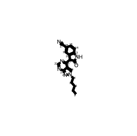 CCCCCn1cc2c(C3C(=O)Nc4ccc(C#N)cc43)ncnc2n1